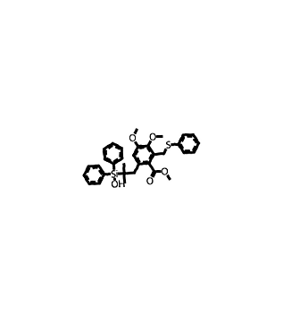 COC(=O)c1c(CC(C)(C)[Si](O)(c2ccccc2)c2ccccc2)cc(OC)c(OC)c1CSc1ccccc1